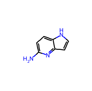 Nc1ccc2[nH]ccc2n1